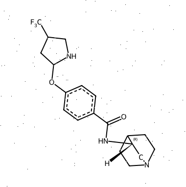 O=C(N[C@H]1CN2CCC1CC2)c1ccc(OC2CC(C(F)(F)F)CN2)cc1